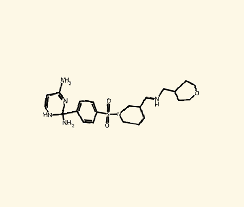 NC1=NC(N)(c2ccc(S(=O)(=O)N3CCCC(CNCC4CCOCC4)C3)cc2)NC=C1